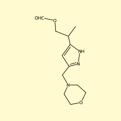 CC(COC=O)c1cc(CN2CCOCC2)n[nH]1